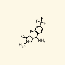 CN1CC(C(N)c2ccc(C(F)(F)F)cc2F)CC1=O